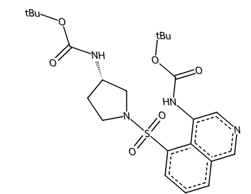 CC(C)(C)OC(=O)Nc1cncc2cccc(S(=O)(=O)N3CC[C@H](NC(=O)OC(C)(C)C)C3)c12